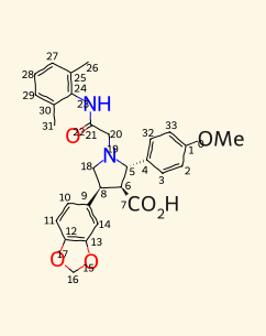 COc1ccc([C@@H]2[C@@H](C(=O)O)[C@@H](c3ccc4c(c3)OCO4)CN2CC(=O)Nc2c(C)cccc2C)cc1